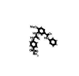 COc1ccc(C(=O)Nc2ccccc2)cc1NC(=S)Nc1ccc(S(N)(=O)=O)cc1